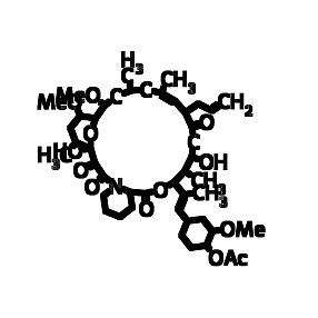 C=CCC1C=C(C)CC(C)CC(OC)C2OC(O)(C(=O)C(=O)N3CCCCC3C(=O)OC(C(C)=CC3CCC(OC(C)=O)C(OC)C3)C(C)C(O)CC1=O)C(C)CC2OC